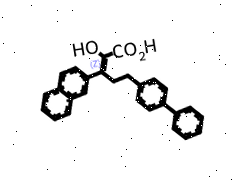 O=C(O)/C(O)=C(\CCc1ccc(-c2ccccc2)cc1)c1ccc2ccccc2c1